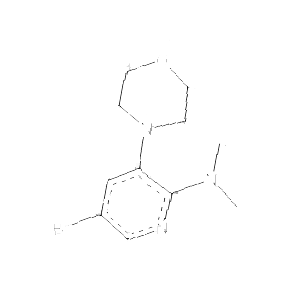 CN(C)c1ncc(Br)cc1N1CCOCC1